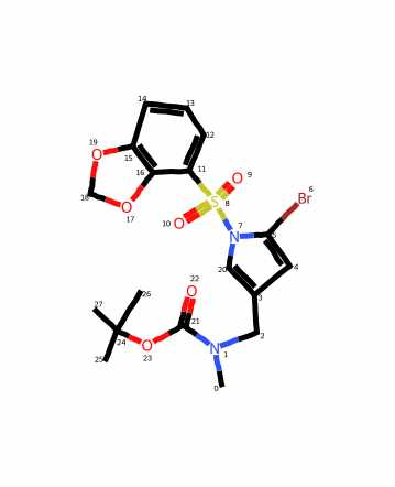 CN(Cc1cc(Br)n(S(=O)(=O)c2cccc3c2OCO3)c1)C(=O)OC(C)(C)C